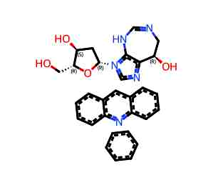 OC[C@H]1O[C@@H](n2cnc3c2NC=NC[C@H]3O)C[C@@H]1O.c1ccc2nc3ccccc3cc2c1.c1ccccc1